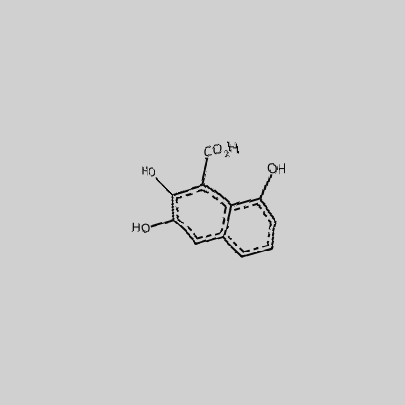 O=C(O)c1c(O)c(O)cc2cccc(O)c12